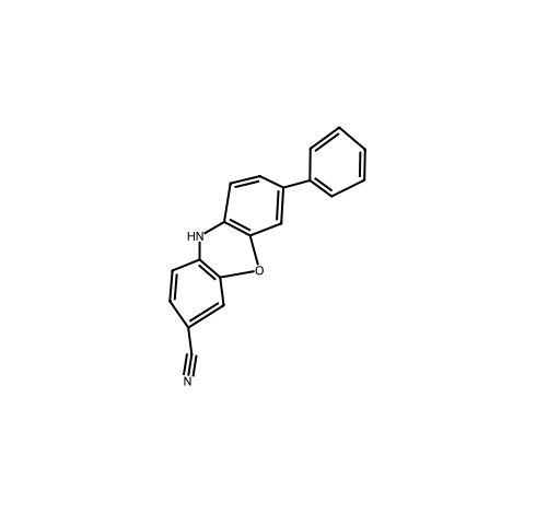 N#Cc1ccc2c(c1)Oc1cc(-c3ccccc3)ccc1N2